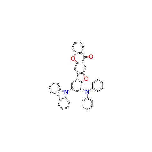 O=c1c2ccccc2oc2cc3c(cc12)oc1c(N(c2ccccc2)c2ccccc2)cc(-n2c4ccccc4c4ccccc42)cc13